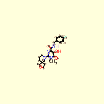 Cn1c(N2CCCC3(CCOC3)C2)nc(C(=O)NCc2ccc(F)cc2)c(O)c1=O